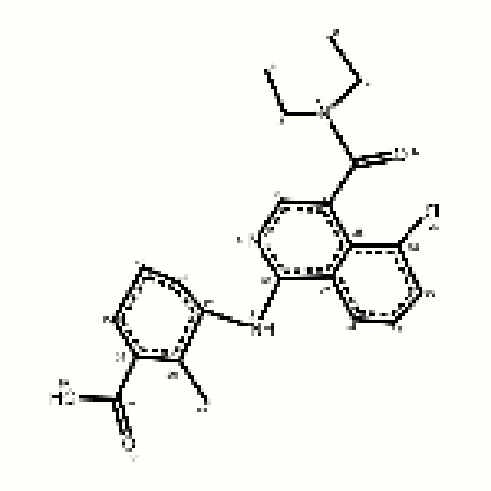 CCN(CC)C(=O)c1cnc(Nc2cccc(C(=O)O)c2C)c2cccc(Cl)c12